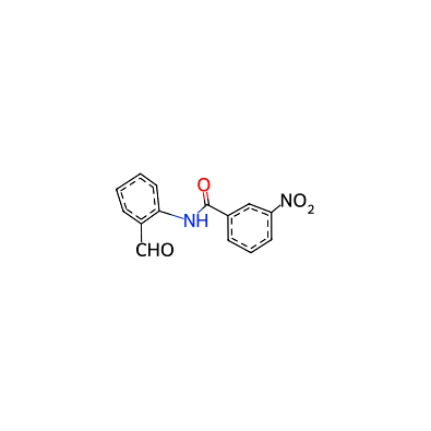 O=Cc1ccccc1NC(=O)c1cccc([N+](=O)[O-])c1